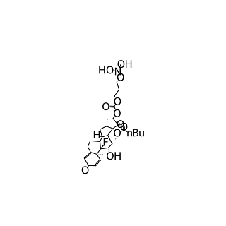 CCCCC(=O)O[C@]1(C(=O)COC(=O)OCCCON(O)O)[C@@H](C)C[C@H]2C3CCC4=CC(=O)C=C[C@]4(C)[C@@]3(F)[C@@H](O)C[C@@]21C